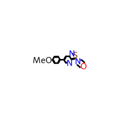 COc1ccc(-c2cnc3c(N4CCOCC4)snc3c2)cc1